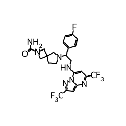 NC(=O)N1CC2(CCN(C(CNc3cc(C(F)(F)F)nc4cc(C(F)(F)F)nn34)c3ccc(F)cc3)C2)C1